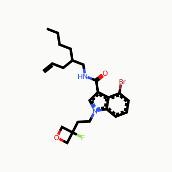 C=CCC(CCCC)CNC(=O)c1cn(CCC2(F)COC2)c2cccc(Br)c12